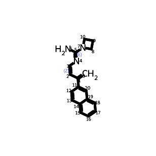 C=C(/C=C\N=C(/N)N1CCC1)c1ccc2ccccc2c1